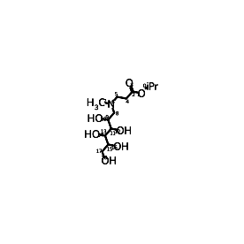 CC(C)OC(=O)CCN(C)CC(O)C(O)C(O)C(O)CO